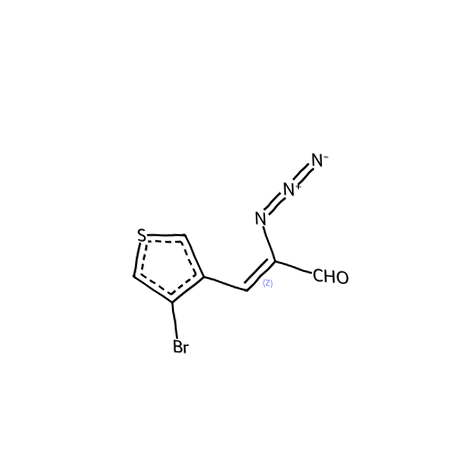 [N-]=[N+]=N/C(C=O)=C\c1cscc1Br